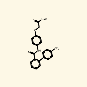 COC(=O)COc1ccc(NC(=O)c2ccccc2-c2ccc(C(F)(F)F)cc2)cc1